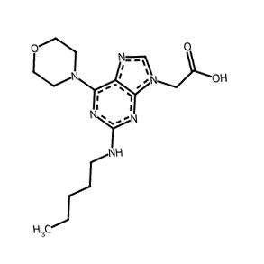 CCCCCNc1nc(N2CCOCC2)c2ncn(CC(=O)O)c2n1